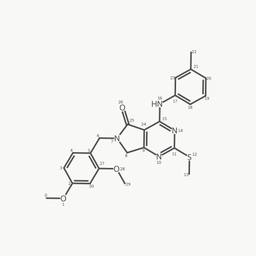 COc1ccc(CN2Cc3nc(SC)nc(Nc4cccc(C)c4)c3C2=O)c(OC)c1